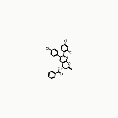 C=C1C[C@H](OC(=O)c2ccccc2)c2cc(-c3ccc(Cl)cc3)c(-c3ccc(Cl)cc3Cl)nc2O1